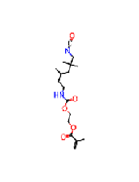 C=C(C)C(=O)OCCOC(=O)NCCC(C)CC(C)(C)CN=C=O